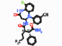 N#Cc1cccc(N2c3cccc(F)c3NC(=O)CC2NC(=O)[C@H](CCC(F)(F)F)[C@H](C(N)=O)c2ccccc2)c1